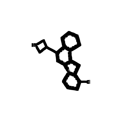 Clc1cccn2c1cc1c3ccccc3c(C3CNC3)cc12